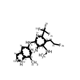 CNc1c(N)c(Nc2cc(C)c3[nH]ncc3c2)nc(C(F)(F)F)c1CCF